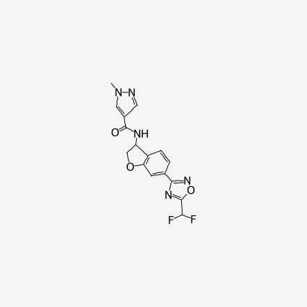 Cn1cc(C(=O)NC2COc3cc(-c4noc(C(F)F)n4)ccc32)cn1